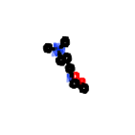 c1ccc(-c2nc(-c3ccccc3)nc(-c3cccc4c(-c5ccc(-c6nc7ccc8c9ccccc9oc8c7o6)cc5)cccc34)n2)cc1